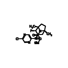 CC(C)(C)OC(=O)N1[C@]2(C)CC[C@@]1(C)[C@H](F)[C@H](Nc1cnc(Cl)cn1)C2